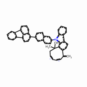 C=C1/C=C\C=C/CC(C)(C)c2c1ccc1c3ccccc3n(-c3ccc4cc(-c5ccc6c7c(cccc57)-c5ccccc5-6)ccc4c3)c21